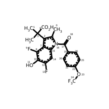 Cc1c(C(C)(C)C(=O)O)c2c(F)c(O)c(F)cc2n1C(=O)c1ccc(OC(F)(F)F)cc1